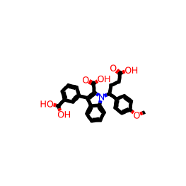 COc1ccc(C(CCC(=O)O)n2c(C(=O)O)c(-c3cccc(C(O)O)c3)c3ccccc32)cc1